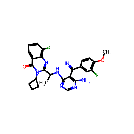 COc1ccc(C(=N)c2c(N)ncnc2NC(C)c2nc3c(Cl)cccc3c(=O)n2C2CCC2)cc1F